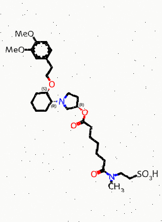 COc1ccc(CCO[C@H]2CCCC[C@H]2N2CC[C@@H](OC(=O)CCCCCC(=O)N(C)CCS(=O)(=O)O)C2)cc1OC